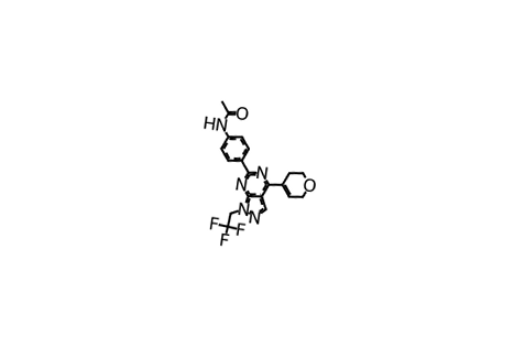 CC(=O)Nc1ccc(-c2nc(C3=CCOCC3)c3cnn(CC(F)(F)F)c3n2)cc1